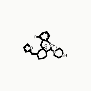 CC(C1CCCC(=Cc2ccco2)CC1(O)Cc1c(F)cccc1F)N1CCNCC1